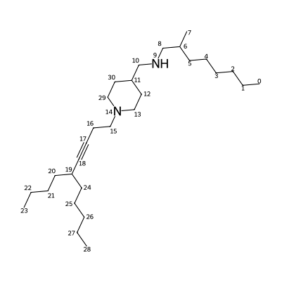 CCCCCCC(C)CNCC1CCN(CCC#CC(CCCC)CCCCC)CC1